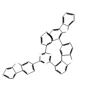 c1ccc(-c2nc(-c3ccc4c(c3)oc3ccccc34)nc(-c3cccc4oc5ccc(-c6cccc7c6oc6ccccc67)cc5c34)n2)cc1